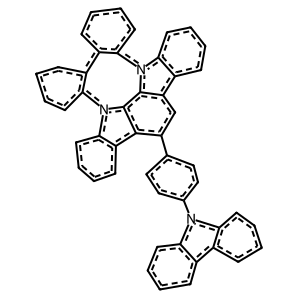 c1ccc2c(c1)c1ccccc1n2-c1ccc(-c2cc3c4ccccc4n4c5ccccc5c5ccccc5n5c6ccccc6c2c5c34)cc1